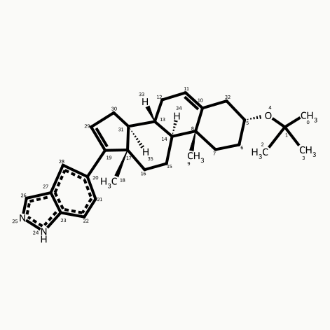 CC(C)(C)O[C@@H]1CC[C@@]2(C)C(=CC[C@@H]3[C@@H]2CC[C@]2(C)C(c4ccc5[nH]ncc5c4)=CC[C@@H]32)C1